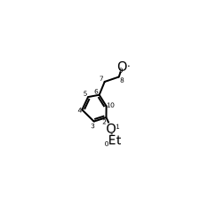 CCOc1cccc(CC[O])c1